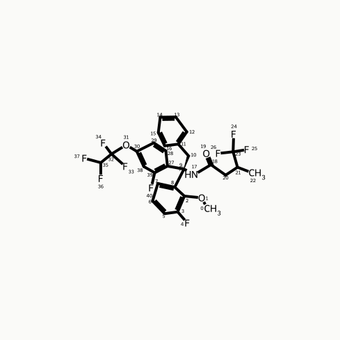 COc1c(F)cccc1[C@@](Cc1ccccc1)(NC(=O)CC(C)C(F)(F)F)c1ccc(OC(F)(F)C(F)F)cc1F